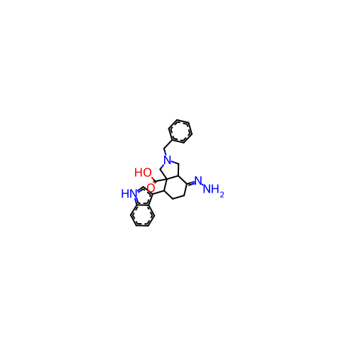 NN=C1CCC(c2c[nH]c3ccccc23)C2(C(=O)O)CN(Cc3ccccc3)CC12